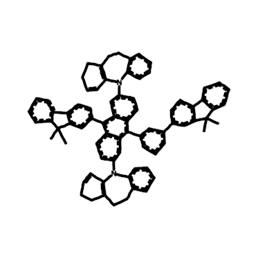 CC1(C)c2ccccc2-c2ccc(-c3cccc(-c4c5ccc(N6C7=C(CCC=C7)CCc7ccccc76)cc5c(-c5ccc6c(c5)C(C)(C)c5ccccc5-6)c5ccc(N6C7=C(CCC=C7)CCc7ccccc76)cc45)c3)cc21